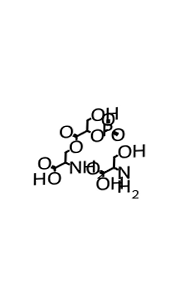 NC(CO)C(=O)O.NC(COC(=O)C(CO)OP(=O)=O)C(=O)O